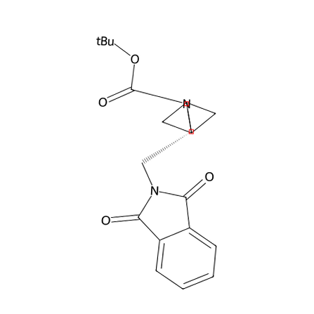 CC(C)(C)OC(=O)N1[C@H](CN2C(=O)c3ccccc3C2=O)C23CC12C3